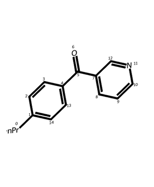 CC[CH]c1ccc(C(=O)c2cccnc2)cc1